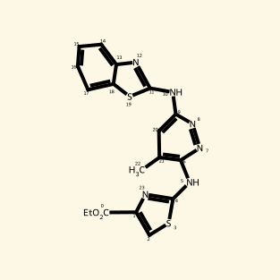 CCOC(=O)c1csc(Nc2nnc(Nc3nc4ccccc4s3)cc2C)n1